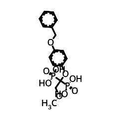 COCC(Oc1ccc(OCc2ccccc2)cc1)(P(=O)(O)O)P(=O)(O)O